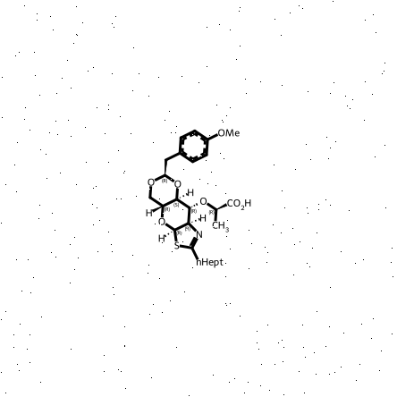 CCCCCCCC1=N[C@@H]2[C@@H](O[C@H](C)C(=O)O)[C@@H]3O[C@H](Cc4ccc(OC)cc4)OC[C@H]3O[C@@H]2S1